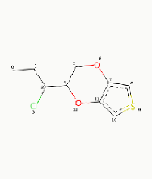 CCC(Cl)C1COc2cscc2O1